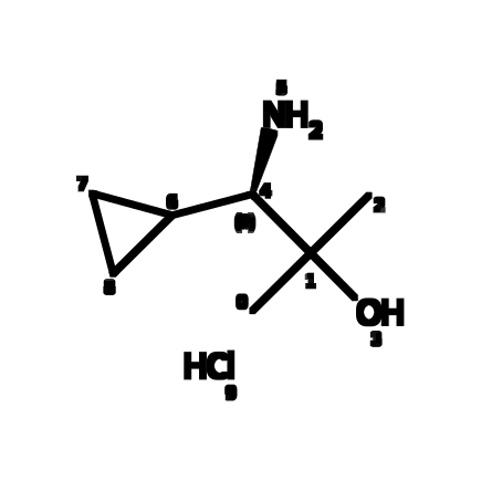 CC(C)(O)[C@H](N)C1CC1.Cl